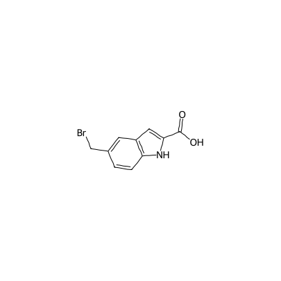 O=C(O)c1cc2cc(CBr)ccc2[nH]1